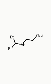 CCCCC[CH2][Al][CH](CC)CC